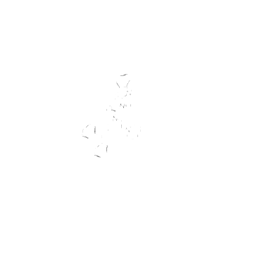 O=C(Nc1nc2ccccc2s1)N(CCC(c1ccccc1)c1ccccc1)CCN1CCOCC1